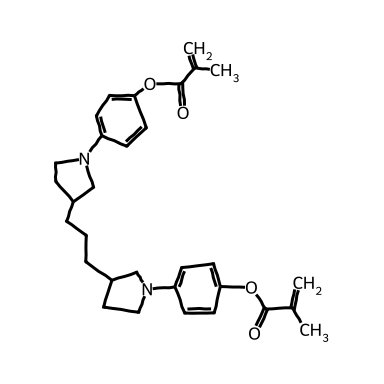 C=C(C)C(=O)Oc1ccc(N2CCC(CCCC3CCN(c4ccc(OC(=O)C(=C)C)cc4)C3)C2)cc1